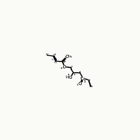 C=[CH][Co](=[O])[CH2]C(O)COC(=O)/C=C/C